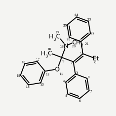 CC/C(=C(\c1ccccc1)C(C)(Oc1ccccc1)N(C)C)c1ccccc1